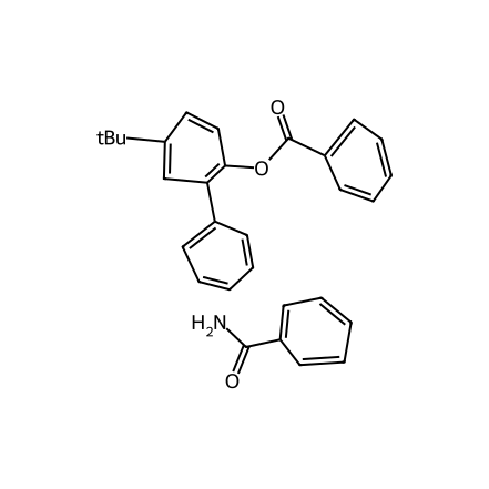 CC(C)(C)c1ccc(OC(=O)c2ccccc2)c(-c2ccccc2)c1.NC(=O)c1ccccc1